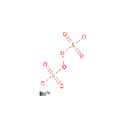 O=S(=O)([O-])OOS(=O)(=O)[O-].[Be+2]